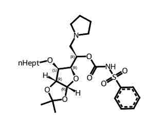 CCCCCCCO[C@@H]1[C@H]2OC(C)(C)O[C@H]2O[C@@H]1[C@@H](CN1CCCC1)OC(=O)NS(=O)(=O)c1ccccc1